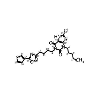 CCCCCn1c(=O)n(CCCCc2noc(-c3ccsc3)n2)c(=O)c2[nH]c(Cl)nc21